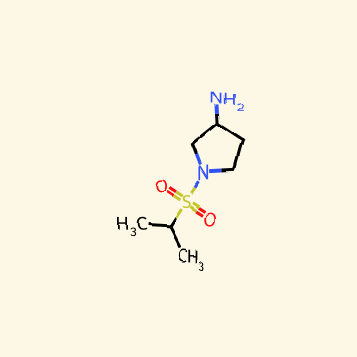 CC(C)S(=O)(=O)N1CCC(N)C1